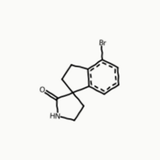 O=C1NCCC12CCc1c(Br)cccc12